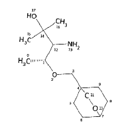 C[C@@H](OCC12CCC(CC1)OC2)C(N)C(C)(C)O